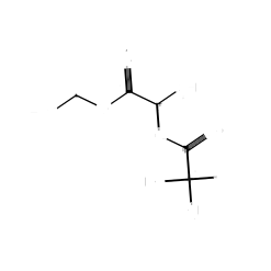 CCOC(=O)C(C)OC(=O)C(C)(C)C